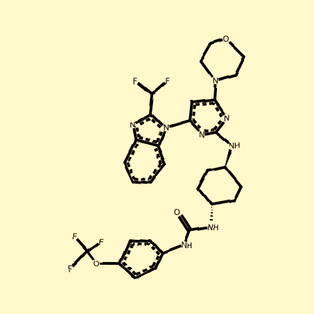 O=C(Nc1ccc(OC(F)(F)F)cc1)N[C@H]1CC[C@H](Nc2nc(N3CCOCC3)cc(-n3c(C(F)F)nc4ccccc43)n2)CC1